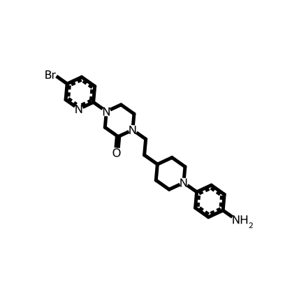 Nc1ccc(N2CCC(CCN3CCN(c4ccc(Br)cn4)CC3=O)CC2)cc1